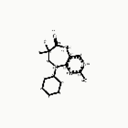 CC1(F)CN(C2CCCCC2)c2nc(Cl)ncc2NC1=O